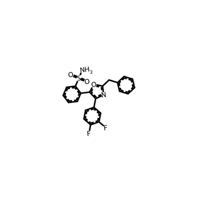 NS(=O)(=O)c1ccccc1-c1oc(Cc2ccccc2)nc1-c1ccc(F)c(F)c1